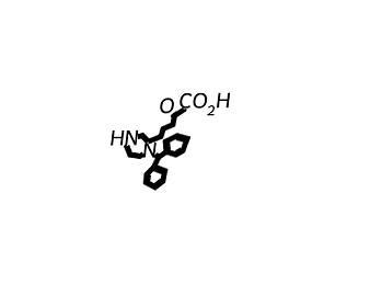 O=C(O)CC(=O)CCCC1CNCCCN1C(c1ccccc1)c1ccccc1